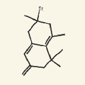 C=C1C=C2CC(C)(CC)CC(C)=C2C(C)(C)C1